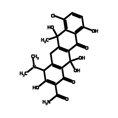 CN(C)C1C(O)=C(C(N)=O)C(=O)C2=C1CC1=C(C(=O)c3c(O)ccc(Cl)c3C1(C)O)C2(O)O